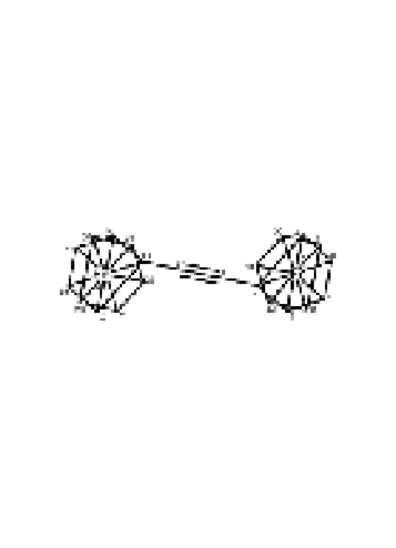 C(#C[C]12[CH]3[CH]4[CH]5[CH]1[Fe]45321678[CH]2[CH]1[CH]6[CH]7[CH]28)[C]12[CH]3[CH]4[CH]5[CH]1[Fe]45321678[CH]2[CH]1[CH]6[CH]7[CH]28